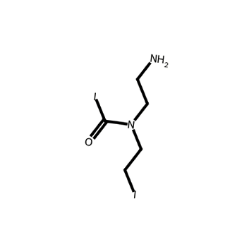 NCCN(CCI)C(=O)I